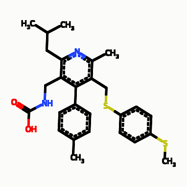 CSc1ccc(SCc2c(C)nc(CC(C)C)c(CNC(=O)O)c2-c2ccc(C)cc2)cc1